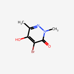 Cc1nn(C)c(=O)c(Br)c1O